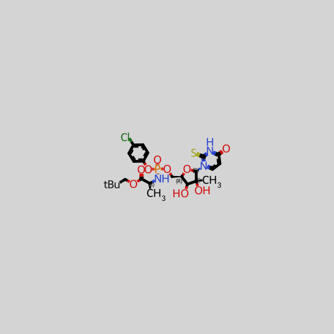 C[C@H](NP(=O)(OC[C@H]1O[C@@H](n2ccc(=O)[nH]c2=S)[C@](C)(O)C1O)Oc1ccc(Cl)cc1)C(=O)OCC(C)(C)C